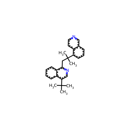 CC(C)(C)c1cnc(CC(C)(C)c2cccc3cnccc23)c2ccccc12